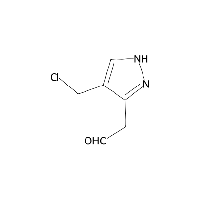 O=CCc1n[nH]cc1CCl